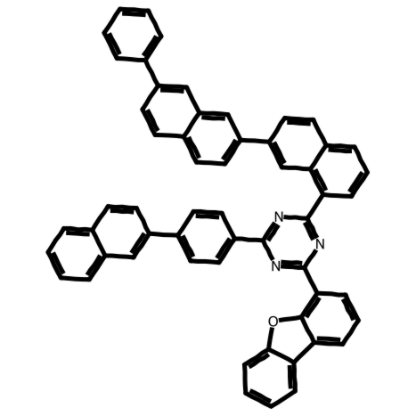 c1ccc(-c2ccc3ccc(-c4ccc5cccc(-c6nc(-c7ccc(-c8ccc9ccccc9c8)cc7)nc(-c7cccc8c7oc7ccccc78)n6)c5c4)cc3c2)cc1